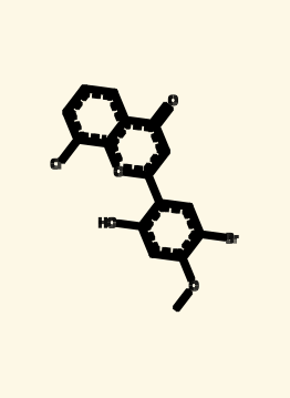 COc1cc(O)c(-c2cc(=O)c3cccc(Cl)c3o2)cc1Br